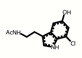 CC(=O)NCCc1c[nH]c2c(Cl)cc(O)cc12